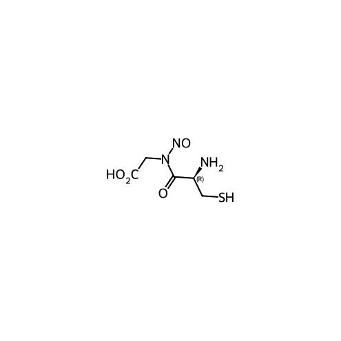 N[C@@H](CS)C(=O)N(CC(=O)O)N=O